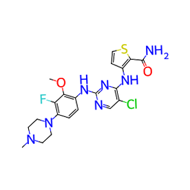 COc1c(Nc2ncc(Cl)c(Nc3ccsc3C(N)=O)n2)ccc(N2CCN(C)CC2)c1F